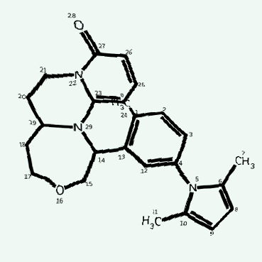 Cc1ccc(-n2c(C)ccc2C)cc1C1COCCC2CCn3c(cccc3=O)N21